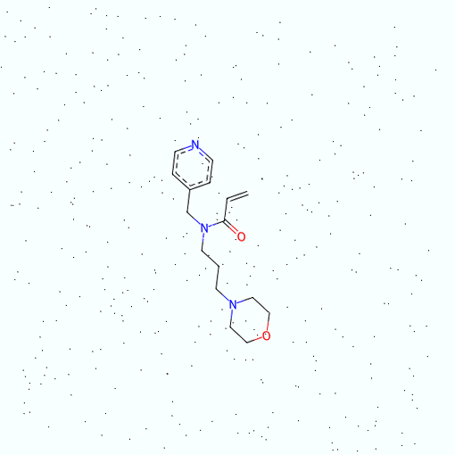 C=CC(=O)N(CCCN1CCOCC1)Cc1ccncc1